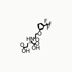 O=C(O)CC[C@H](NC(=O)COc1cccc(C(F)(F)F)c1)C(=O)O